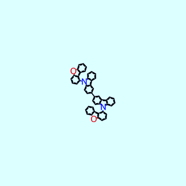 c1ccc2c(c1)oc1cccc(-n3c4ccccc4c4cc(-c5ccc6c(c5)c5ccccc5n6-c5cccc6oc7ccccc7c56)ccc43)c12